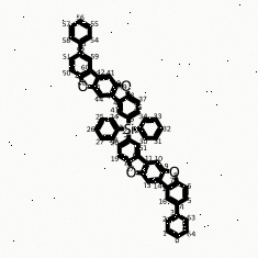 c1ccc(-c2ccc3oc4cc5c(cc4c3c2)oc2ccc([Si](c3ccccc3)(c3ccccc3)c3ccc4oc6cc7c(cc6c4c3)oc3ccc(-c4ccccc4)cc37)cc25)cc1